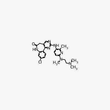 Cc1nc(N(C)CCN(C)C)ccc1Nc1ncc2c(n1)-c1ccc(Cl)cc1NC(=O)C2